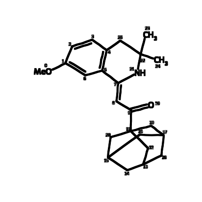 COc1ccc2c(c1)C(=CC(=O)C13CC4CC(CC(C4)C1)C3)NC(C)(C)C2